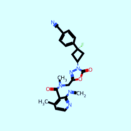 C=Nc1nccc(C)c1C(=O)N(C)Cc1nn([C@H]2C[C@](F)(c3ccc(C#N)cc3)C2)c(=O)o1